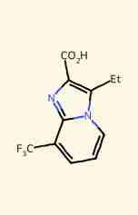 CCc1c(C(=O)O)nc2c(C(F)(F)F)cccn12